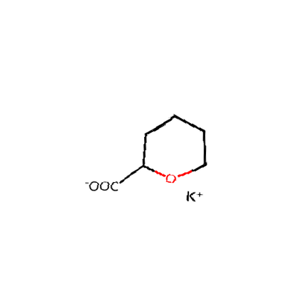 O=C([O-])C1CCCCO1.[K+]